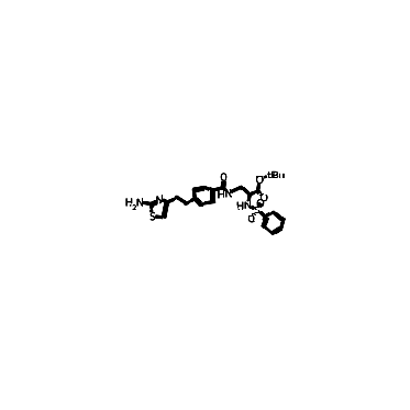 CC(C)(C)OC(=O)C(CNC(=O)c1ccc(CCc2csc(N)n2)cc1)NS(=O)(=O)c1ccccc1